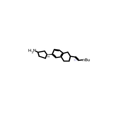 CCCC/C=C/C1CCc2cc([C@H]3CCC(N)C3)ccc2C1